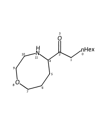 CCCCCCCC(=O)C1CCCOCCN1